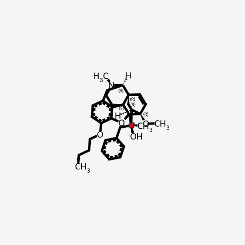 CCCCOc1ccc2c3c1O[C@H]1[C@@]4(OC)C=C[C@@]5(C[C@@H]4[C@](C)(O)Cc4ccccc4)[C@@H](C2)N(C)CC[C@]315